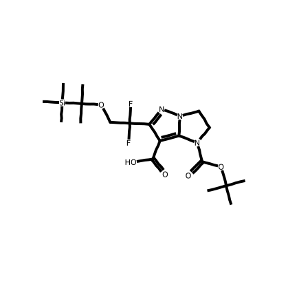 CC(C)(C)OC(=O)N1CCn2nc(C(F)(F)COC(C)(C)[Si](C)(C)C)c(C(=O)O)c21